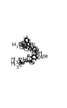 COc1cc(C(=O)NCCCN(C)C)c(F)cc1Nc1ncc(Cl)c(O[C@@H]2Cc3ccccc3[C@H]2N(C)S(C)(=O)=O)n1